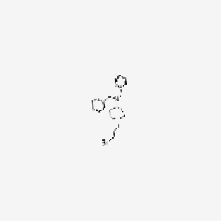 BrCCC[C@H]1CC[C@H](N(Cc2ccccc2)Cc2ccccc2)CC1